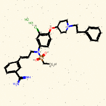 Cl.Cl.N=C(N)c1cccc(/C=C/CN(c2ccc(OC3CCN(CCc4ccccc4)CC3)c(Cl)c2)S(=O)(=O)CC(=O)O)c1